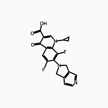 O=C(O)c1cn(C2CC2)c2c(F)c(N3Cc4ccncc4C3)c(F)cc2c1=O